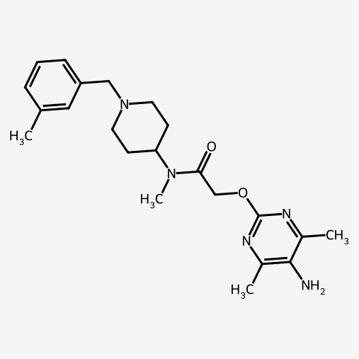 Cc1cccc(CN2CCC(N(C)C(=O)COc3nc(C)c(N)c(C)n3)CC2)c1